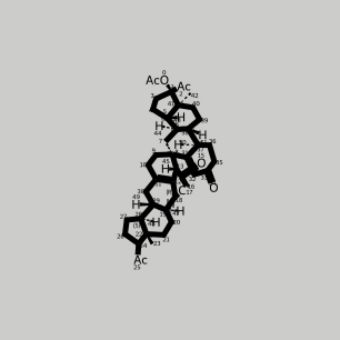 CC(=O)O[C@]1(C(C)=O)CC[C@H]2[C@@H]3C[C@]4(CCC5=C6[C@H]4C(=O)CC[C@@H]6[C@H]4CC[C@]6(C)C(C(C)=O)CC[C@H]6[C@@H]4C5)C4=CC(=O)CC[C@@H]4[C@H]3CC[C@@]21C